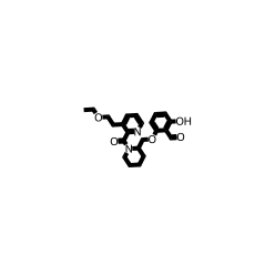 CCOCCc1cccnc1C(=O)N1CCCCC1COc1cccc(O)c1C=O